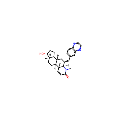 CN1C(=O)C=C[C@]2(C)[C@H]3CC[C@]4(C)[C@@H](O)CC[C@H]4[C@@H]3C/C(=C\c3ccc4nccnc4c3)[C@@H]12